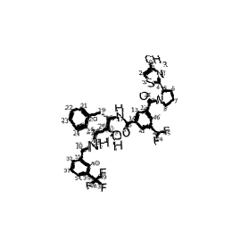 Cc1csc([C@H]2CCCN2C(=O)c2cc(C(=O)N[C@@H](Cc3ccccc3)[C@H](O)CNCc3cccc(C(F)(F)F)c3)cc(C(F)F)c2)n1